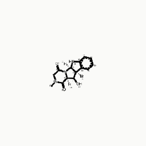 CN1CC(=O)N2[C@H](C1=O)C(O)[C@]1(Br)c3ccccc3N[C@H]21